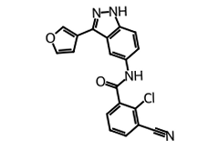 N#Cc1cccc(C(=O)Nc2ccc3[nH]nc(-c4ccoc4)c3c2)c1Cl